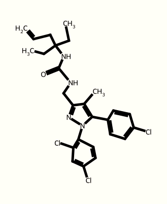 C=CCC(CC)(CC)NC(=O)NCc1nn(-c2ccc(Cl)cc2Cl)c(-c2ccc(Cl)cc2)c1C